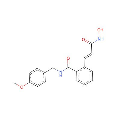 COc1ccc(CNC(=O)c2ccccc2C=CC(=O)NO)cc1